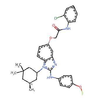 C[C@@H]1CC(n2c(Nc3ccc(OF)cc3)nc3cc(OCC(=O)Nc4ccccc4Cl)ccc32)CC(C)(C)C1